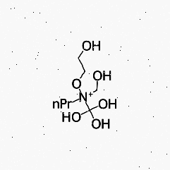 CCC[N+](CO)(OCCO)C(O)(O)O